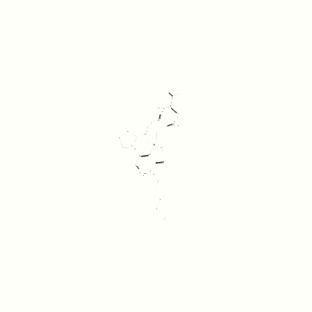 C[Si](C)(C)CCOCn1ncc(N2CCC[C@H]2COc2cncc(C(=O)O)n2)c(C(F)(F)F)c1=O